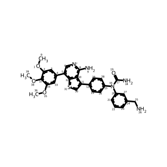 COc1cc(-c2cnc(N)c3c(-c4ccc(N(C(N)=O)c5cccc(CN)c5)cc4)csc23)cc(OC)c1OC